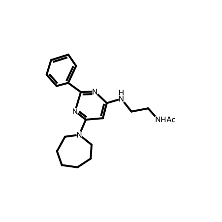 CC(=O)NCCNc1cc(N2CCCCCC2)nc(-c2ccccc2)n1